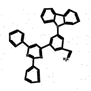 C=Cc1cc(-c2cc(-c3ccccc3)nc(-c3ccccc3)n2)cc(-n2c3ccccc3c3ccccc32)c1